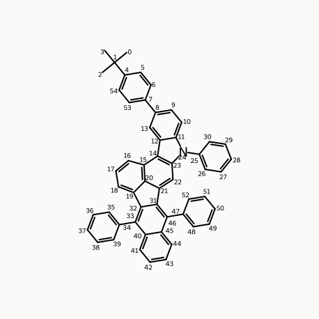 CC(C)(C)c1ccc(-c2ccc3c(c2)c2c4cccc5c4c(cc2n3-c2ccccc2)-c2c-5c(-c3ccccc3)c3ccccc3c2-c2ccccc2)cc1